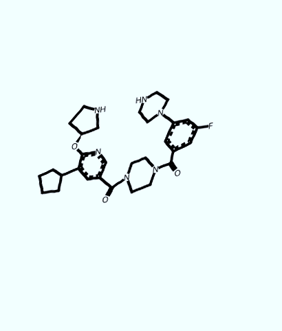 O=C(c1cc(F)cc(N2CCNCC2)c1)N1CCN(C(=O)c2cnc(O[C@H]3CCNC3)c(C3CCCC3)c2)CC1